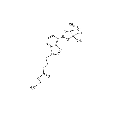 CCOC(=O)CCCn1ccc2c(B3OC(C)(C)C(C)(C)O3)ccnc21